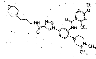 CCOc1ncc(C(=O)Nc2cc(-n3cc(C(=O)NCCCN4CCOCC4)nn3)ccc2N2CCN(C)[C@H](C)C2)c(C(F)(F)F)n1